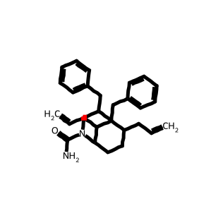 C=CCC1CCC2C(CC=C)C1(Cc1ccccc1)C(Cc1ccccc1)CN2C(N)=O